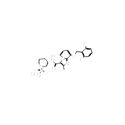 Cc1nc2c(OCc3c(F)cccc3F)cccn2c1C(=O)N[C@H]1CCCN(S(N)(=O)=O)C1